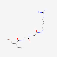 CC(=O)SCC(CC(C)C)C(=O)NCC(=O)NCC(=O)N[C@@H](CCCNC(=N)N)C(=O)O